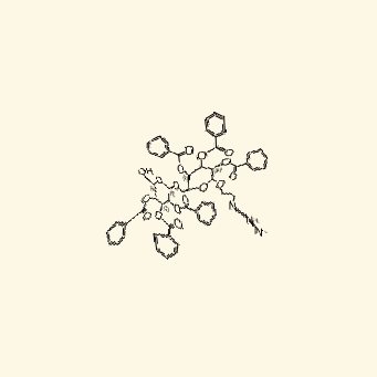 [N-]=[N+]=NCCOC1OC(CO[C@@H]2O[C@H](CO)C(OC(=O)c3ccccc3)[C@H](OC(=O)c3ccccc3)C2OC(=O)c2ccccc2)[C@@H](OC(=O)c2ccccc2)C(OC(=O)c2ccccc2)[C@H]1OC(=O)c1ccccc1